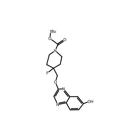 CC(C)(C)OC(=O)N1CCC(F)(COc2cnc3ccc(O)cc3n2)CC1